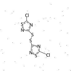 Clc1nc(SSc2nsc(Cl)n2)ns1